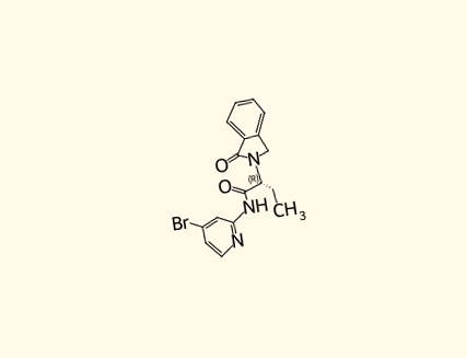 CC[C@H](C(=O)Nc1cc(Br)ccn1)N1Cc2ccccc2C1=O